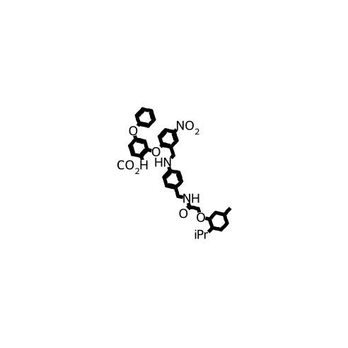 CC1CCC(C(C)C)C(OCC(=O)NCc2ccc(NCc3cc([N+](=O)[O-])ccc3Oc3cc(Oc4ccccc4)ccc3C(=O)O)cc2)C1